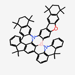 Cc1cc2c(cc1N1c3cc4c(cc3B3c5c(cc6c(c51)-c1ccccc1C6(C)C)-c1cccc5c1N3c1ccccc1C5(C)C)oc1cc3c(cc14)C(C)(C)CCC3(C)C)C(C)(C)CCC2(C)C